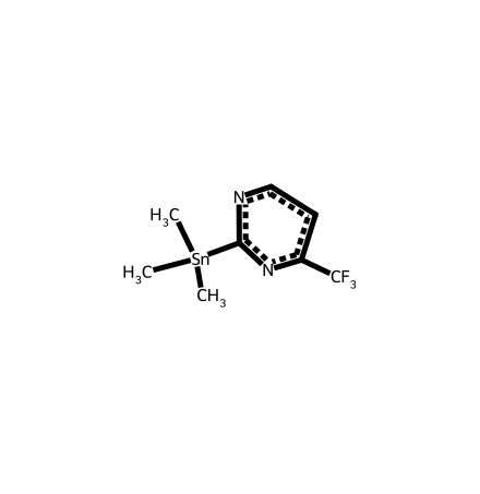 [CH3][Sn]([CH3])([CH3])[c]1nccc(C(F)(F)F)n1